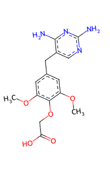 COc1cc(Cc2cnc(N)nc2N)cc(OC)c1OCC(=O)O